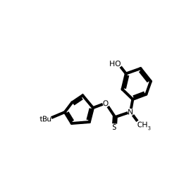 CN(C(=S)Oc1ccc(C(C)(C)C)cc1)c1cccc(O)c1